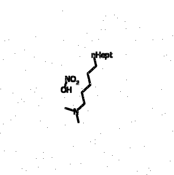 CCCCCCCCCCCCN(C)C.O=[N+]([O-])O